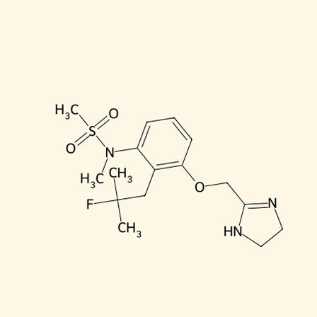 CN(c1cccc(OCC2=NCCN2)c1CC(C)(C)F)S(C)(=O)=O